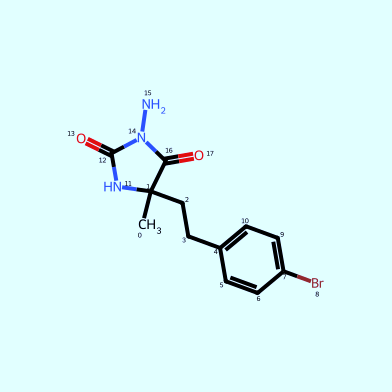 CC1(CCc2ccc(Br)cc2)NC(=O)N(N)C1=O